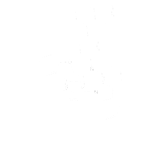 c1ccc(-n2c3ccccc3c3cccc(N(c4ccc(-c5cccc6ccccc56)cc4)c4cccc5c4oc4ccccc45)c32)cc1